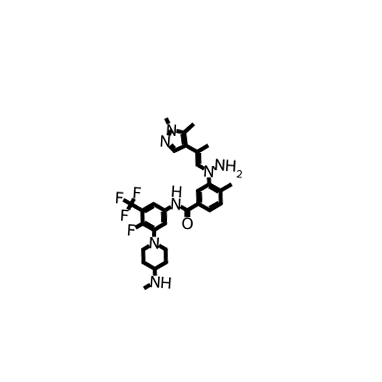 CNC1CCN(c2cc(NC(=O)c3ccc(C)c(N(N)/C=C(\C)c4cnn(C)c4C)c3)cc(C(F)(F)F)c2F)CC1